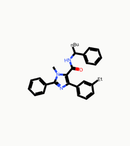 CCCCC(NC(=O)c1c(-c2cccc(CC)c2)nc(-c2ccccc2)n1C)c1ccccc1